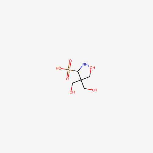 NC(C(CO)(CO)CO)S(=O)(=O)O